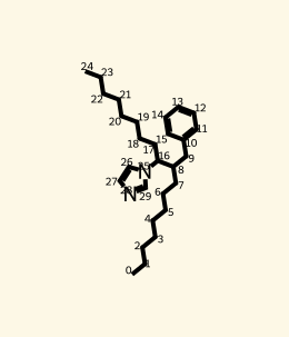 CCCCCCCCC(Cc1ccccc1)C(CCCCCCCC)n1ccnc1